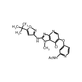 CC(=O)Nc1cc(Oc2cnc3nc(Nc4cc(C(C)(C)C(F)(F)F)on4)n(C)c3c2Cl)ccn1